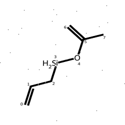 C=CC[SiH2]OC(=C)C